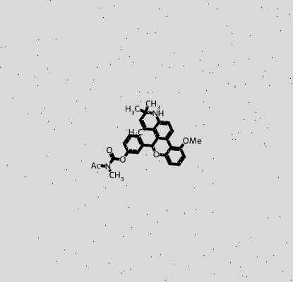 COc1cccc2c1-c1ccc3c(c1C(c1cccc(OC(=O)N(C)C(C)=O)c1)O2)C(C)=CC(C)(C)N3